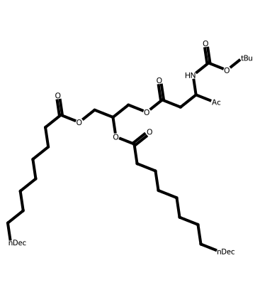 CCCCCCCCCCCCCCCCCC(=O)OCC(COC(=O)CC(NC(=O)OC(C)(C)C)C(C)=O)OC(=O)CCCCCCCCCCCCCCCCC